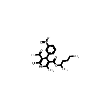 CC1=C(C(=O)O)C(c2cccc([N+](=O)[O-])c2)C(C(=O)OC(C)CCCN)=C(C)N1